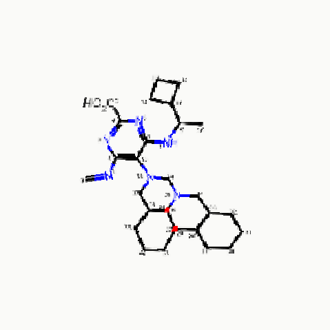 C=Nc1nc(C(=O)O)nc(N[C@H](C)C2CCC2)c1N(CC1CCCCC1)CN1CCC2CCCCC2C1